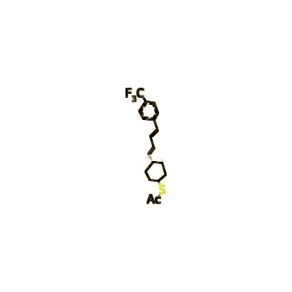 CC(=O)S[C@H]1CC[C@H](C=CC=Cc2ccc(C(F)(F)F)cc2)CC1